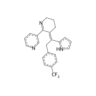 FC(F)(F)c1ccc(CC(=C2CCCN=C2c2cccnc2)c2ccc[nH]2)cc1